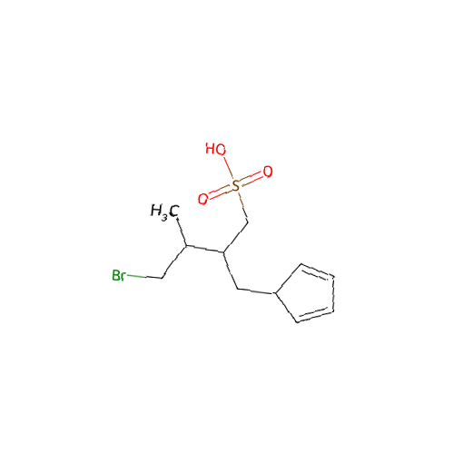 CC(CBr)C(CC1C=CC=C1)CS(=O)(=O)O